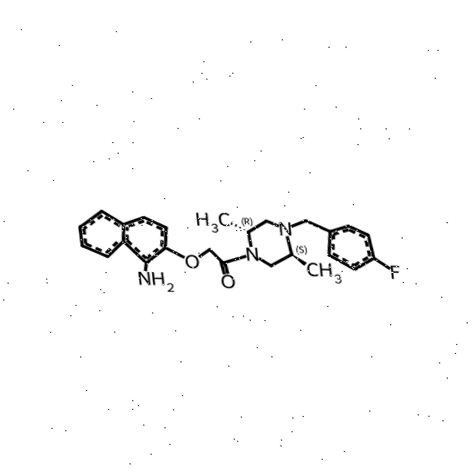 C[C@@H]1CN(Cc2ccc(F)cc2)[C@@H](C)CN1C(=O)COc1ccc2ccccc2c1N